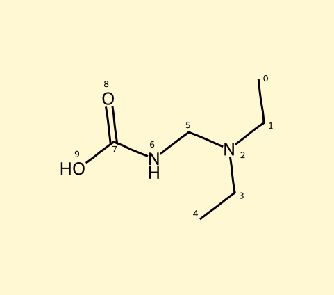 CCN(CC)CNC(=O)O